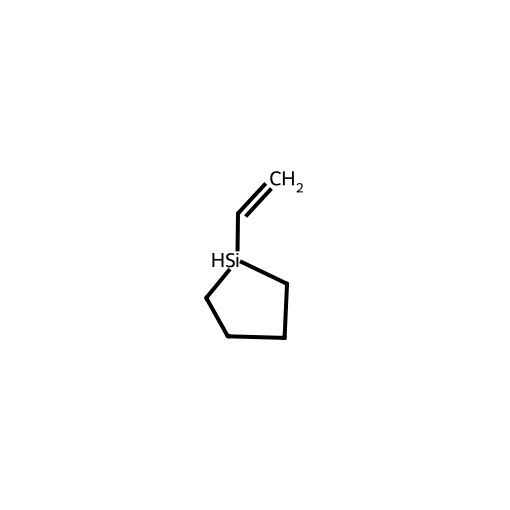 C=C[SiH]1CCCC1